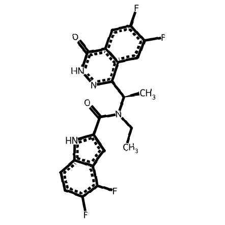 CCN(C(=O)c1cc2c(F)c(F)ccc2[nH]1)[C@H](C)c1n[nH]c(=O)c2cc(F)c(F)cc12